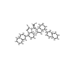 CC[SiH](C1C(C)=Cc2c(-c3ccc4ccccc4c3)cccc21)C1C(C)=Cc2c(-c3ccc4ccccc4c3)cccc21